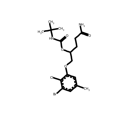 Cc1cc(Br)c(Cl)c(OCC(CCC(N)=O)OC(=O)NC(C)(C)C)c1